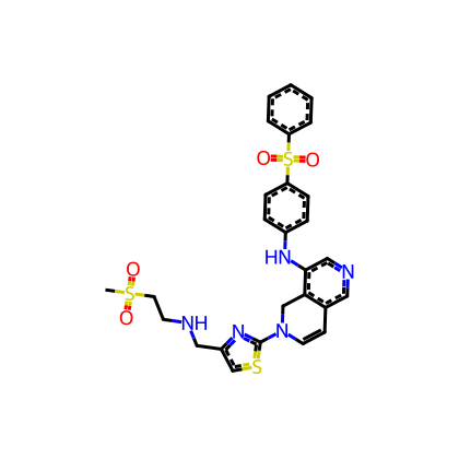 CS(=O)(=O)CCNCc1csc(N2C=Cc3cncc(Nc4ccc(S(=O)(=O)c5ccccc5)cc4)c3C2)n1